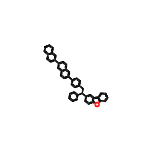 c1ccc(C(Cc2ccc(-c3ccc4cc(-c5ccc6ccccc6c5)ccc4c3)cc2)c2ccc3oc4ccccc4c3c2)cc1